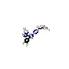 C=C/C(CI)=C(\C=C/N)c1nc(N2CCN(C(=O)CC(C)C)CC2)cnc1-c1ccc(F)c(F)c1